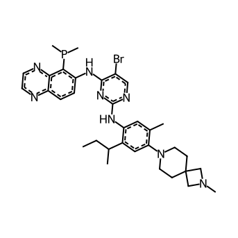 CCC(C)c1cc(N2CCC3(CC2)CN(C)C3)c(C)cc1Nc1ncc(Br)c(Nc2ccc3nccnc3c2P(C)C)n1